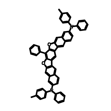 Cc1ccc(N(c2ccccc2)c2ccc3cc4c(cc3c2)oc2c(-c3ccccc3)c3oc5cc6cc(N(c7ccccc7)c7ccc(C)cc7)ccc6cc5c3cc24)cc1